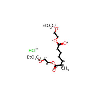 CCOC(=O)OCCOC(=O)CCCCC(C)C(=O)OCCOC(=O)OCC.Cl